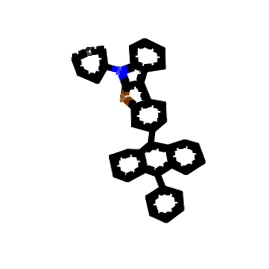 c1ccc(-c2c3ccccc3c(-c3ccc4c(c3)sc3c4c4ccccc4n3-c3ccccc3)c3ccccc23)cc1